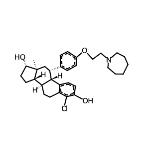 C[C@]12C[C@H](c3ccc(OCCN4CCCCCC4)cc3)[C@@H]3c4ccc(O)c(Cl)c4CC[C@H]3[C@@H]1CC[C@@H]2O